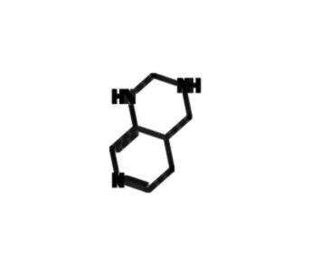 C1=NC=C2NCNCC2C1